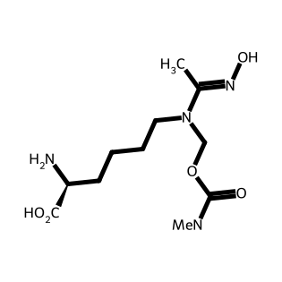 CNC(=O)OCN(CCCC[C@H](N)C(=O)O)/C(C)=N/O